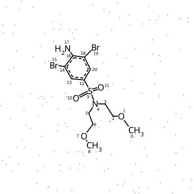 COCCN(CCOC)S(=O)(=O)c1cc(Br)c(N)c(Br)c1